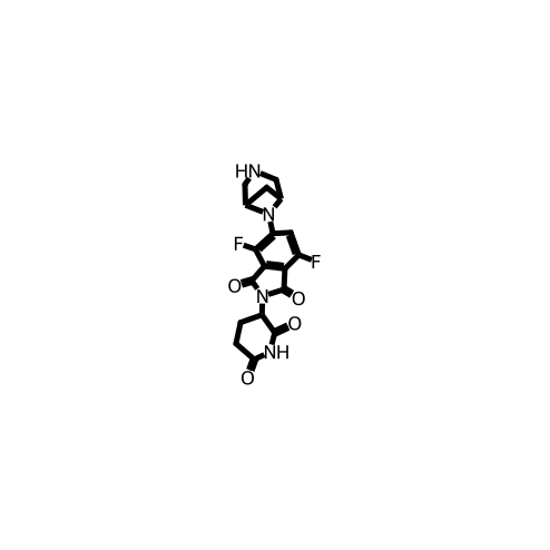 O=C1CCC(N2C(=O)c3c(F)cc(N4C5CNCC4C5)c(F)c3C2=O)C(=O)N1